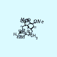 CCCCC(O)C[N+](C)(C)Cc1ccc(OC)c(OC)c1.CCCCCC(=O)[O-]